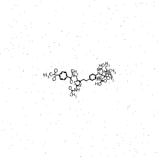 CC(=O)Nc1nc(CCc2ccc(NC(NC(=O)O)(N(C(=O)O)C(C)(C)C)C(C)(C)C)cc2)c(CN(C)C(=O)c2ccc(S(C)(=O)=O)cc2)s1